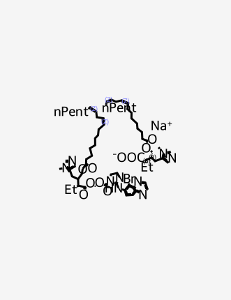 CCCCC/C=C\C/C=C\CCCCCCCC(=O)OCC(Cc1cncn1C)C(CC)C(=O)OCOC(=O)N1CCN=C1Nc1ccc2nccnc2c1Br.CCCCC/C=C\C/C=C\CCCCCCCC(=O)OC[C@H](Cc1cncn1C)[C@H](CC)C(=O)[O-].[Na+]